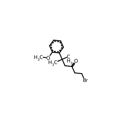 COc1ccccc1C(C)(C)CC(=O)CCBr